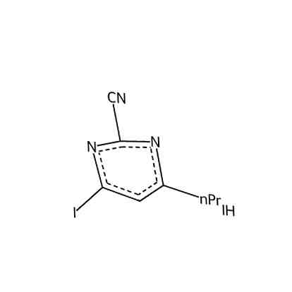 CCCc1cc(I)nc(C#N)n1.I